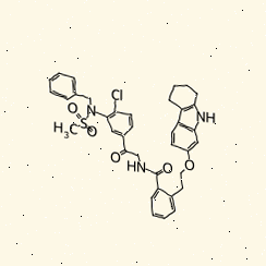 CS(=O)(=O)N(Cc1ccccc1)c1cc(C(=O)CNC(=O)c2ccccc2CCOc2ccc3c4c([nH]c3c2)CCCC4)ccc1Cl